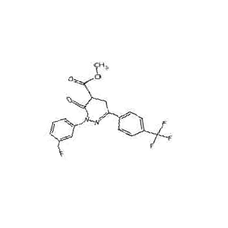 COC(=O)C1CC(c2ccc(C(F)(F)F)cc2)=NN(c2cccc(F)c2)C1=O